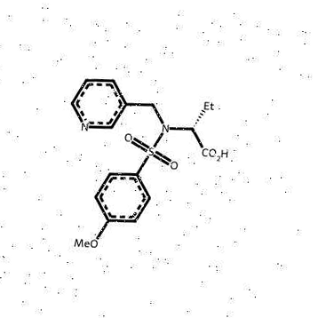 CC[C@H](C(=O)O)N(Cc1cccnc1)S(=O)(=O)c1ccc(OC)cc1